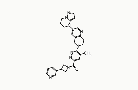 Cc1cc(C(=O)N2CC(c3cccnc3)C2)nnc1N1CCc2ncc(N3CCCn4nccc43)cc2C1